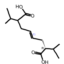 CC(C)C(C/C=C/C[C@@H](C(=O)O)C(C)C)C(=O)O